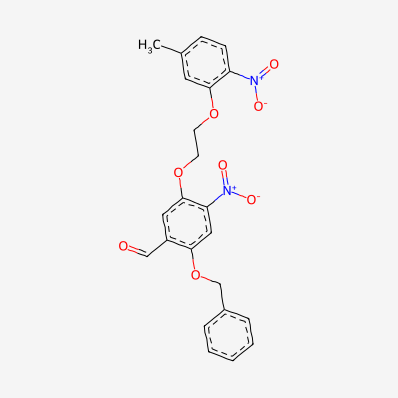 Cc1ccc([N+](=O)[O-])c(OCCOc2cc(C=O)c(OCc3ccccc3)cc2[N+](=O)[O-])c1